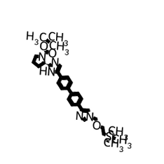 CC(C)(C)OC(=O)N1CCC[C@H]1c1ncc(-c2ccc(-c3ccc(-c4cn(COCC[Si](C)(C)C)cn4)cc3)cc2)[nH]1